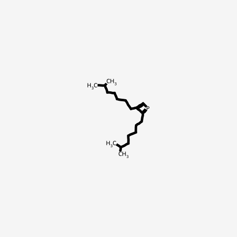 CC(C)CCCCCC1=CP=C1CCCCCC(C)C